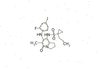 C=CCC1(S(=O)(=O)Nc2c(Nc3ccc(I)cc3F)c(C)c(=O)n3c2CCC3)CC1